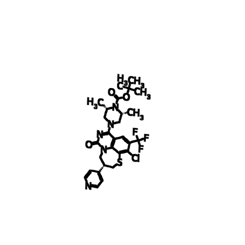 C[C@@H]1CN(c2nc(=O)n3c4c(c(Cl)c(C(F)(F)F)cc24)SC[C@H](c2ccncc2)C3)C[C@H](C)N1C(=O)OC(C)(C)C